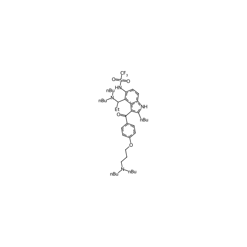 CCCCc1[nH]c2ccc(NS(=O)(=O)C(F)(F)F)c(C(CC)N(CCCC)CCCC)c2c1C(=O)c1ccc(OCCCN(CCCC)CCCC)cc1